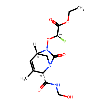 CCOC(=O)[C@@H](F)ON1C(=O)N2C[C@@H]1C=C(C)[C@H]2C(=O)NCO